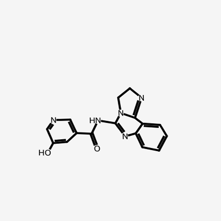 O=C(NC1=Nc2ccccc2C2=NCCN12)c1cncc(O)c1